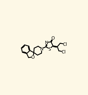 O=C1N=C(N2CCC3(CC2)OCc2ccccc23)SC1=C(CCl)CCl